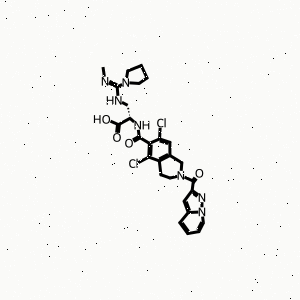 C/N=C(/NC[C@H](NC(=O)c1c(Cl)cc2c(c1Cl)CCN(C(=O)c1cc3ccccn3n1)C2)C(=O)O)N1CCCC1